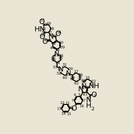 NC(=O)c1c(-c2ccc(Oc3ccccc3)cc2)nn2c1NCC[C@H]2C1CCC(N2CCN(CC3CCN(c4ccc5c(c4)C(=O)N(C4CCC(=O)NC4=O)C5=O)CC3)CC2)CC1